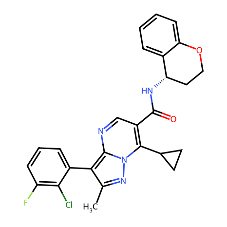 Cc1nn2c(C3CC3)c(C(=O)N[C@H]3CCOc4ccccc43)cnc2c1-c1cccc(F)c1Cl